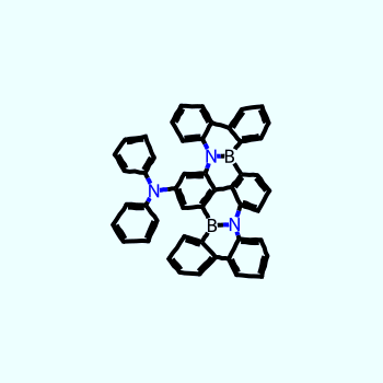 c1ccc(N(c2ccccc2)c2cc3c4c(c2)N2B(c5ccccc5-c5ccccc52)c2cccc(c2-4)N2B3c3ccccc3-c3ccccc32)cc1